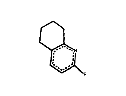 Fc1ccc2c(n1)CCCC2